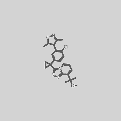 CC1=NOC(C)C1c1cc(C2(c3nnc4c(C(C)(C)O)cccn34)CC2)ccc1Cl